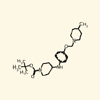 CC1CCN(COc2ccc(NC3CCN(C(=O)OC(C)(C)C)CC3)cc2)CC1